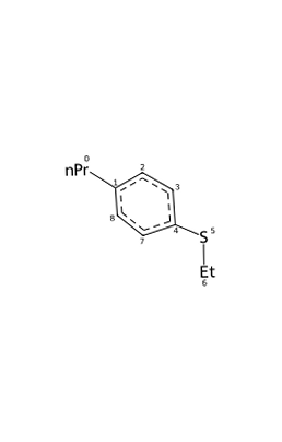 [CH2]CCc1ccc(SCC)cc1